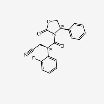 N#CC[C@@H](C(=O)N1C(=O)OC[C@H]1c1ccccc1)c1ccccc1F